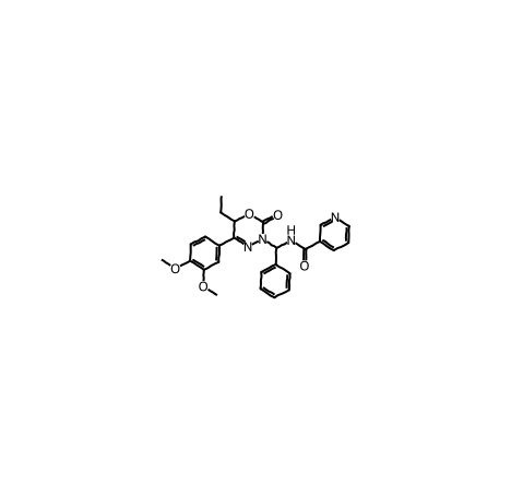 CCC1OC(=O)N(C(NC(=O)c2cccnc2)c2ccccc2)N=C1c1ccc(OC)c(OC)c1